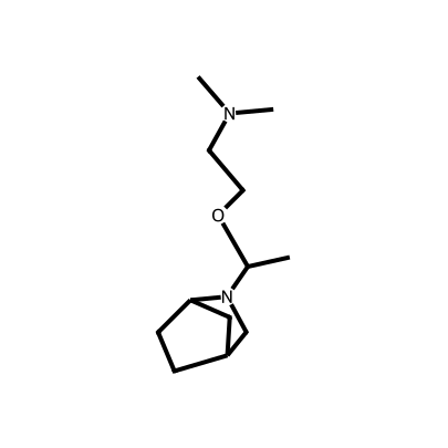 CC(OCCN(C)C)N1CC2CCC1C2